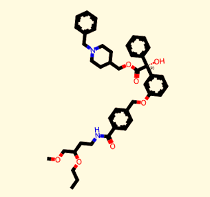 CCCOC(CCNC(=O)c1ccc(COc2cccc([C@@](O)(C(=O)OCC3CCN(Cc4ccccc4)CC3)c3ccccc3)c2)cc1)COC